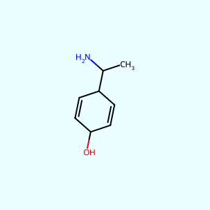 CC(N)C1C=CC(O)C=C1